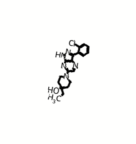 CCC1(O)CCN(c2cnc3c(-c4ccccc4Cl)n[nH]c3n2)CC1